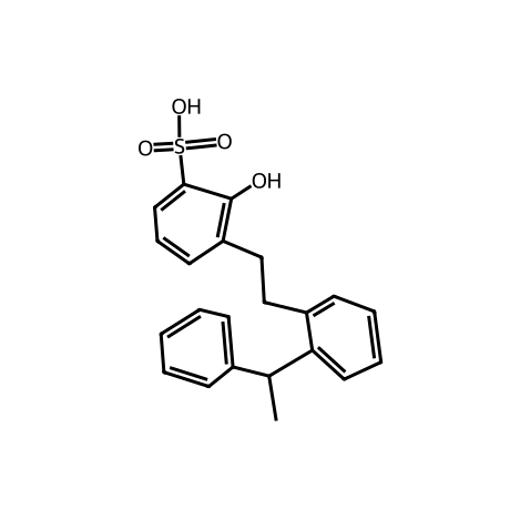 CC(c1ccccc1)c1ccccc1CCc1cccc(S(=O)(=O)O)c1O